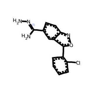 N/N=C(\N)c1ccc2noc(-c3ccccc3Cl)c2c1